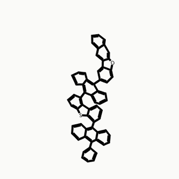 c1ccc(-c2c3ccccc3c(-c3cccc4c3sc3cccc(-c5c6ccccc6c(-c6ccc7oc8cc9ccccc9cc8c7c6)c6ccccc56)c34)c3ccccc23)cc1